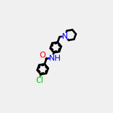 O=C(Nc1ccc(CN2CCCCC2)cc1)c1ccc(Cl)cc1